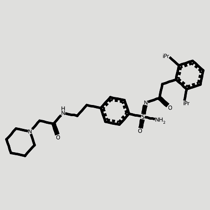 CC(C)c1cccc(C(C)C)c1CC(=O)N=S(N)(=O)c1ccc(CCNC(=O)CN2CCCCC2)cc1